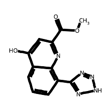 COC(=O)c1cc(O)c2cccc(-c3nn[nH]n3)c2n1